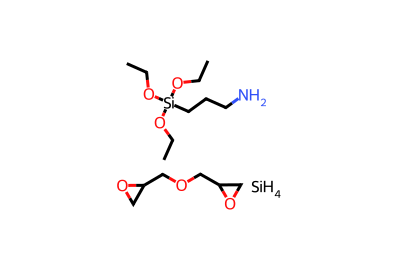 C(OCC1CO1)C1CO1.CCO[Si](CCCN)(OCC)OCC.[SiH4]